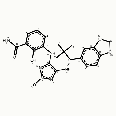 CC(C)(C)[C@@H](Nc1n[s+]([O-])nc1Nc1cccc(C(N)=O)c1O)c1ccc2c(c1)OCO2